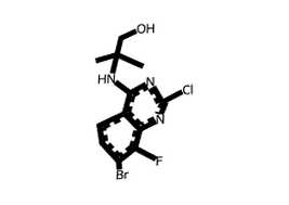 CC(C)(CO)Nc1nc(Cl)nc2c(F)c(Br)ccc12